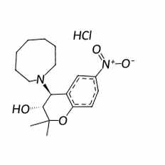 CC1(C)Oc2ccc([N+](=O)[O-])cc2[C@H](N2CCCCCCC2)[C@H]1O.Cl